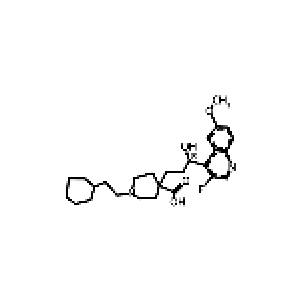 COc1ccc2ncc(F)c([C@H](O)CCC3(C(=O)O)CCN(CCC4CCCCC4)CC3)c2c1